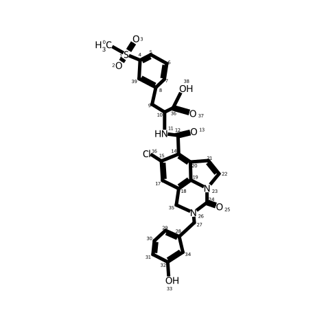 CS(=O)(=O)c1cccc(CC(NC(=O)c2c(Cl)cc3c4c2ccn4C(=O)N(Cc2cccc(O)c2)C3)C(=O)O)c1